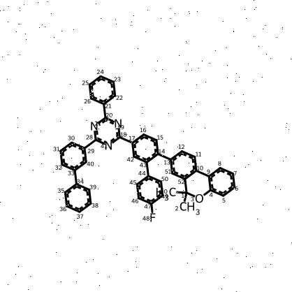 CC1(C)Oc2ccccc2-c2ccc(-c3ccc(-c4nc(-c5ccccc5)nc(-c5cccc(-c6ccccc6)c5)n4)cc3-c3ccc(F)cc3)cc21